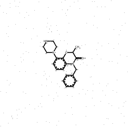 CC1Oc2c(N3CCNCC3)cccc2N(Cc2ccccc2)C1=O